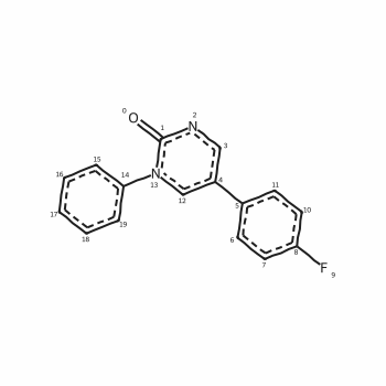 O=c1ncc(-c2ccc(F)cc2)cn1-c1ccccc1